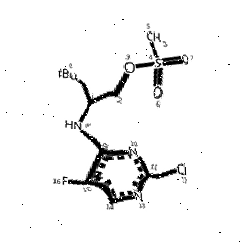 CC(C)(C)C(COS(C)(=O)=O)Nc1nc(Cl)ncc1F